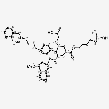 CCC(O)COC1CN(C(=O)OCCCCON(O)O)CC(OCc2cc(OC)c3ccccc3c2)C1c1ccc(OCCCOCc2ccccc2OC)cc1